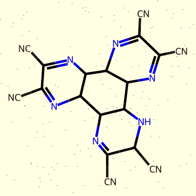 N#CC1=NC2C3N=C(C#N)C(C#N)=NC3C3NC(C#N)C(C#N)=NC3C2N=C1C#N